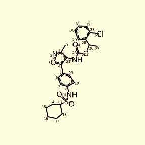 Cc1noc(-c2ccc(NS(=O)(=O)C3CCCCC3)cc2)c1NC(=O)OC(C)c1ccccc1Cl